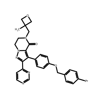 CC(C)c1ccc(COc2ccc(-c3c(-c4ccncn4)nn4c3C(=O)N(CC3(C)COC3)CC4)cc2)cc1